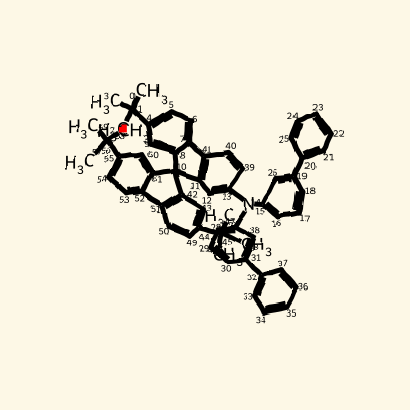 CC(C)(C)c1ccc2c(c1)C1(c3cc(N(c4cccc(-c5ccccc5)c4)c4cccc(-c5ccccc5)c4)ccc3-2)c2cc(C(C)(C)C)ccc2-c2ccc(C(C)(C)C)cc21